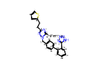 CCCCCc1nc(CCc2cccs2)nn1Cc1ccc(-c2ccccc2-c2nnn[nH]2)cc1